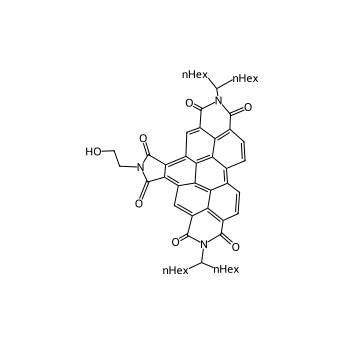 CCCCCCC(CCCCCC)n1c(=O)c2ccc3c4ccc5c(=O)n(C(CCCCCC)CCCCCC)c(=O)c6cc7c8c(=O)n(CCO)c(=O)c8c8cc(c1=O)c2c3c8c7c4c56